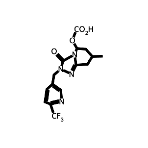 CC1Cc2nn(Cc3ccc(C(F)(F)F)nc3)c(=O)n2C(OC(=O)O)C1